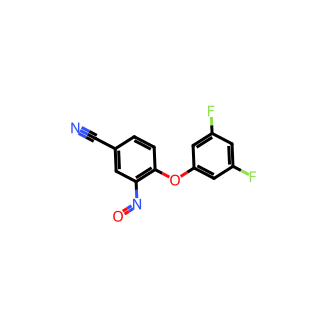 N#Cc1ccc(Oc2cc(F)cc(F)c2)c(N=O)c1